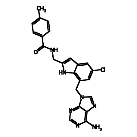 Cc1ccc(C(=O)NCc2cc3cc(Cl)cc(Cn4cnc5c(N)ncnc54)c3[nH]2)cc1